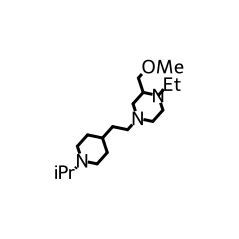 CCN1CCN(CCC2CCN(C(C)C)CC2)CC1COC